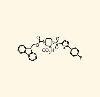 O=C(O)[C@H]1CN(C(=O)OCC2c3ccccc3-c3ccccc32)CCN1S(=O)(=O)c1ccc(-c2ccc(F)cc2)s1